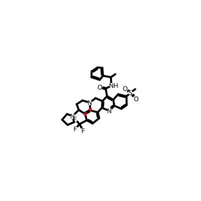 CC(NC(=O)c1c(CN2CCC(N3CCCC3)CC2)c(-c2ccc(C(F)(F)F)cc2)nc2ccc(S(C)(=O)=O)cc12)c1ccccc1